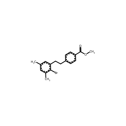 COC(=O)c1ccc(CCc2cc(C)cc(C)c2Br)cc1